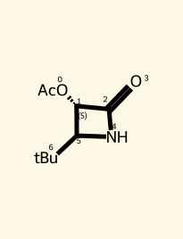 CC(=O)O[C@@H]1C(=O)NC1C(C)(C)C